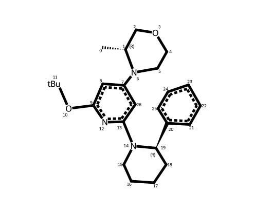 C[C@@H]1COCCN1c1cc(OC(C)(C)C)nc(N2CCCC[C@@H]2c2ccccc2)c1